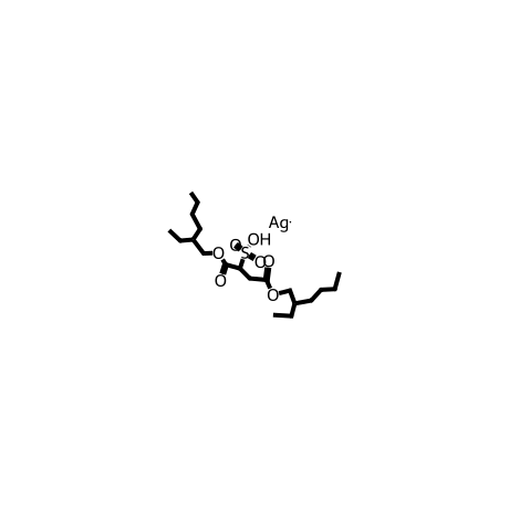 CCCCC(CC)COC(=O)CC(C(=O)OCC(CC)CCCC)S(=O)(=O)O.[Ag]